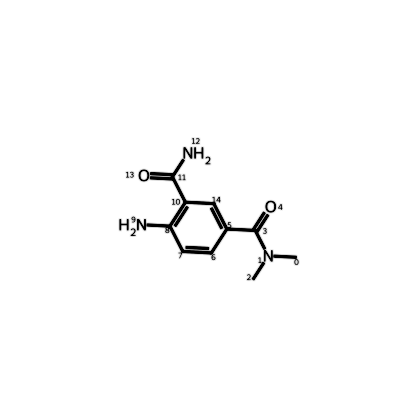 CN(C)C(=O)c1ccc(N)c(C(N)=O)c1